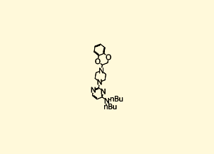 CCCCN(CCCC)c1ccnc(N2CCN(C3COc4ccccc4O3)CC2)n1